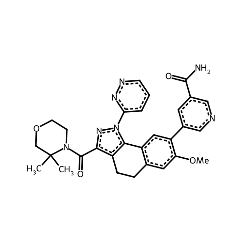 COc1cc2c(cc1-c1cncc(C(N)=O)c1)-c1c(c(C(=O)N3CCOCC3(C)C)nn1-c1cccnn1)CC2